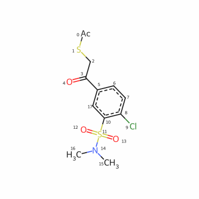 CC(=O)SCC(=O)c1ccc(Cl)c(S(=O)(=O)N(C)C)c1